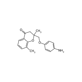 Cc1cccc2c1OC(C)(COc1ccc(N)cc1)CC2=O